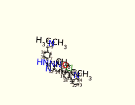 CN(C)CCc1ccc(Nc2ncc3cc(-c4ccc(-c5ccccc5N(C)C)cc4Cl)c(=O)n(C)c3n2)cc1